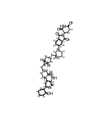 CC1(CN2C[C@@H]3[C@@H](CN4CCN5c6cc(-c7ccccc7O)nnc6NC[C@H]5C4)[C@@H]3C2)CN(c2ccc3c(c2)C(=O)N(C2CCC(=O)NC2=O)C3=O)CCO1